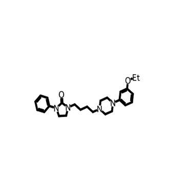 CCOc1cccc(N2CCN(CCCCN3CCN(c4ccccc4)C3=O)CC2)c1